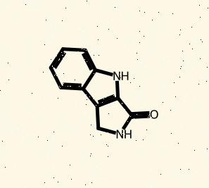 O=C1NCc2c1[nH]c1ccccc21